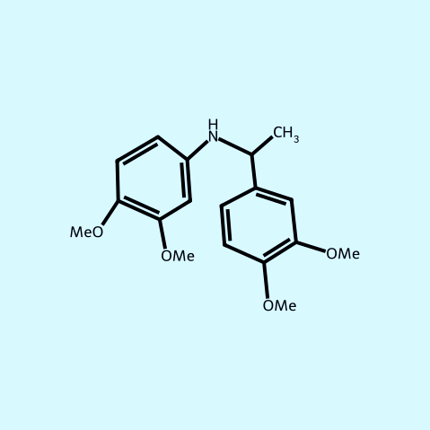 COc1ccc(NC(C)c2ccc(OC)c(OC)c2)cc1OC